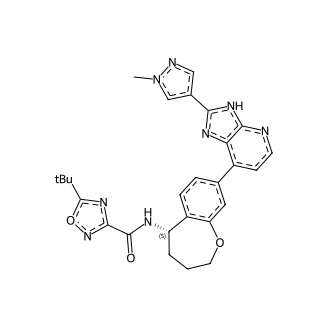 Cn1cc(-c2nc3c(-c4ccc5c(c4)OCCC[C@@H]5NC(=O)c4noc(C(C)(C)C)n4)ccnc3[nH]2)cn1